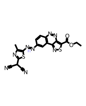 CCOC(=O)c1snc2c1nnc1ccc(/N=N/c3sc(C(C#N)C#N)nc3C)cc12